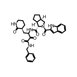 O=C(NCc1ccccc1)C(=O)C(C[C@@H]1CCCNC1=O)NC(=O)[C@@H]1[C@H]2CCC[C@H]2CN1C(=O)c1cc2ccccc2[nH]1